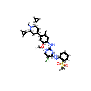 Cc1cc(Nc2ncc(Cl)c(Nc3ccccc3S(=O)(=O)C(C)C)n2)c(OC(C)C)cc1C1=C[C@@H](C2CC2)N(C)[C@H](C2CC2)C1